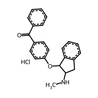 CNC1Cc2ccccc2C1Oc1ccc(C(=O)c2ccccc2)cc1.Cl